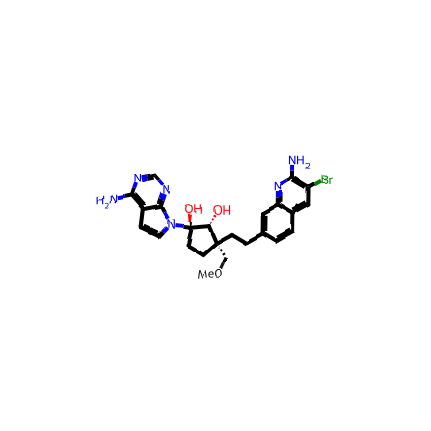 COC[C@]1(CCc2ccc3cc(Br)c(N)nc3c2)CC[C@](O)(n2ccc3c(N)ncnc32)[C@@H]1O